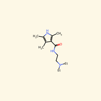 CCN(CC)CCNC(=O)c1c(C)[nH]c(C)c1C